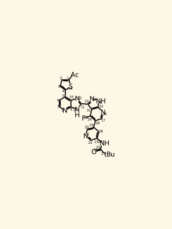 CC(=O)c1ccc(-c2ccnc3[nH]c(-c4n[nH]c5ncc(-c6cncc(NC(=O)C(C)(C)C)c6)c(F)c45)nc23)s1